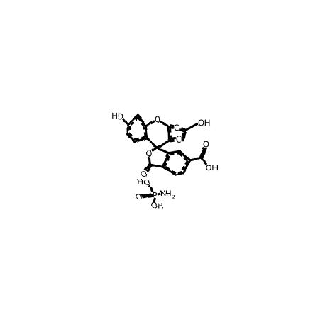 NP(=O)(O)O.O=C(O)c1ccc2c(c1)C1(OC2=O)c2ccc(O)cc2Oc2cc(O)ccc21